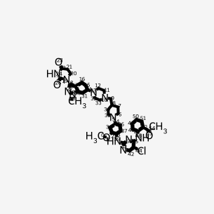 COc1cc(N2CCC(CN3CCN(c4ccc5c(N6CCC(=O)NC6=O)nn(C)c5c4)CC3)CC2)ccc1Nc1ncc(Cl)c(Nc2ccccc2C(C)=O)n1